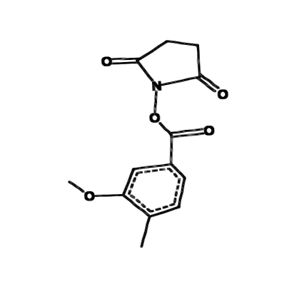 COc1cc(C(=O)ON2C(=O)CCC2=O)ccc1C